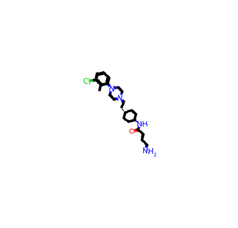 Cc1c(Cl)cccc1N1CCN(CC[C@H]2CC[C@H](NC(=O)CCCN)CC2)CC1